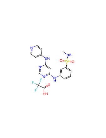 CNS(=O)(=O)c1cccc(Nc2cc(Nc3ccncc3)ncn2)c1.O=C(O)C(F)(F)F